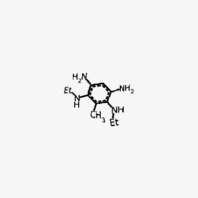 CCNc1c(N)cc(N)c(NCC)c1C